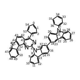 c1ccc(-c2nc(-n3c4ccccc4c4ccc(-c5ccc6c(c5)c5ccccc5n6-c5ccccc5)cc43)nc3c2ccc2sc4ccccc4c23)cc1